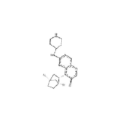 O=c1ccc2cnc(NC3CCNCC3)nc2n1[C@H]1C[C@@H]2CC[C@H]1C2